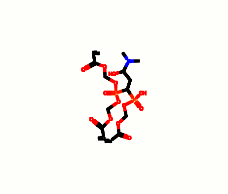 CN(C)C(O)CC(P(=O)(O)OCOC(=O)C(C)(C)C)P(=O)(OCOC(=O)C(C)(C)C)OCOC(=O)C(C)(C)C